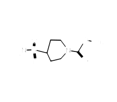 CC(C)(C)OC(=O)N1CCC(S(N)(=O)=O)CC1